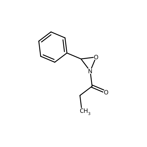 CCC(=O)N1OC1c1ccccc1